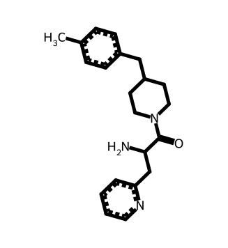 Cc1ccc(CC2CCN(C(=O)C(N)Cc3ccccn3)CC2)cc1